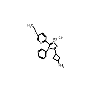 CCOc1ccc(-c2nnc(C3CC(N)C3)n2-c2ccncc2)nc1.Cl.Cl